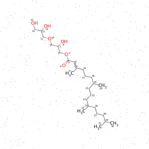 C/C(=C\C(=O)OCC(O)COCC(O)CO)CCCC(C)CCCC(C)CCCC(C)C